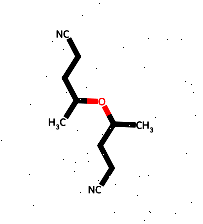 CC(CCC#N)OC(C)CCC#N